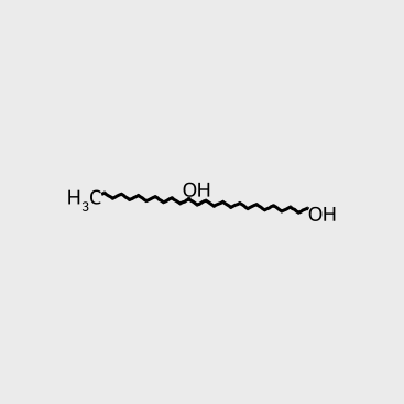 CCCCCCCCCCCC(O)CCCCCCCCCCCCCCO